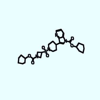 O=C(OC1CCCCC1)N1CC(S(=O)(=O)N2CCC(c3cn(C(=O)OC4CCCCC4)c4cccnc34)CC2)C1